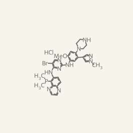 COc1cc(N2CCNCC2)c(-c2cnn(C)c2)cc1Nc1ncc(Br)c(Nc2ccc3nccnc3c2P(C)C)n1.Cl